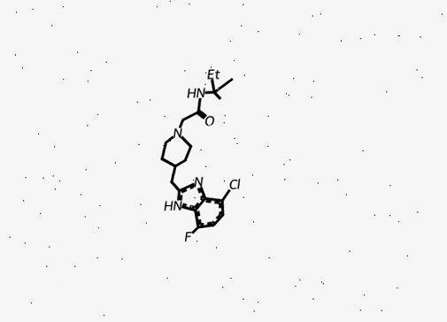 CCC(C)(C)NC(=O)CN1CCC(Cc2nc3c(Cl)ccc(F)c3[nH]2)CC1